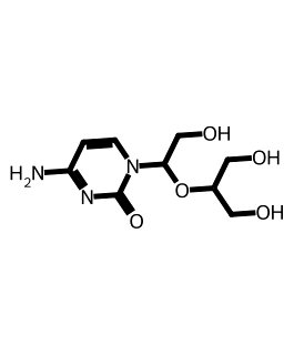 Nc1ccn(C(CO)OC(CO)CO)c(=O)n1